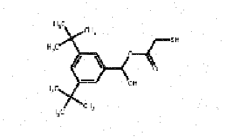 CC(C)(C)c1cc(C(O)OC(=O)CS)cc(C(C)(C)C)c1